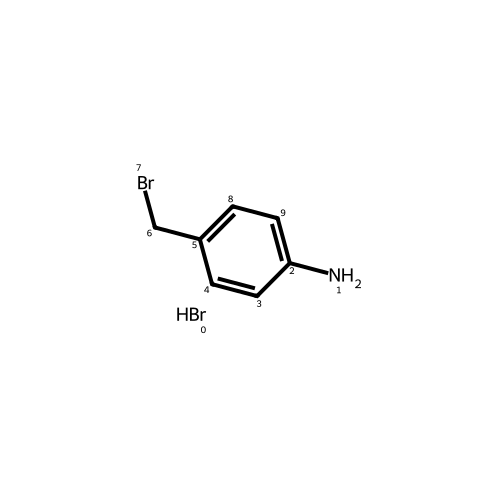 Br.Nc1ccc(CBr)cc1